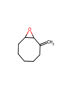 C=C1CCCCCC2OC12